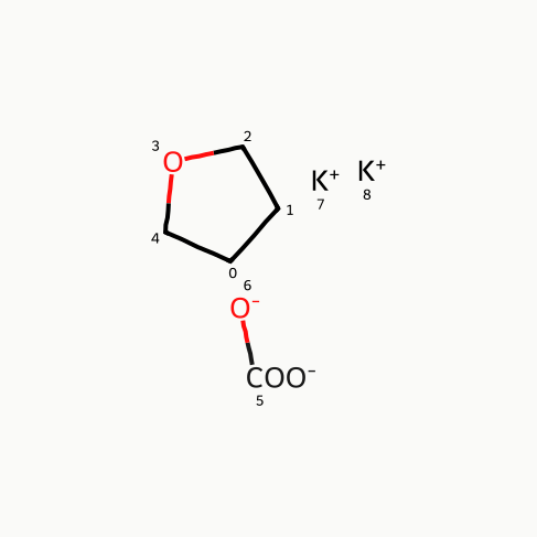 C1CCOC1.O=C([O-])[O-].[K+].[K+]